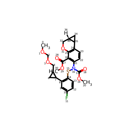 COCOCC1CC1c1cc(F)ccc1SN(C(=O)OC)c1ccc2c(c1C(=O)OC)OC[C@@H]1CC21